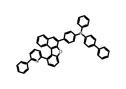 c1ccc(-c2ccc(N(c3ccccc3)c3ccc(-c4cc5ccccc5c5c4oc4cccc(-c6cccc(-c7ccccc7)n6)c45)cc3)cc2)cc1